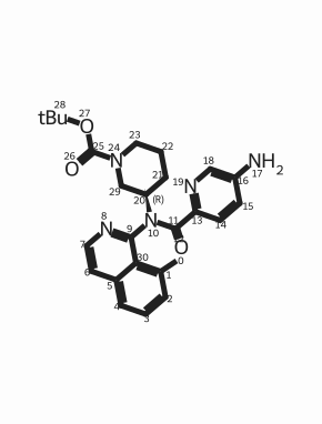 Cc1cccc2ccnc(N(C(=O)c3ccc(N)cn3)[C@@H]3CCCN(C(=O)OC(C)(C)C)C3)c12